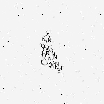 COc1cccc(OC)c1-n1c(NS(=O)(=O)C(C)C(OC)c2ncc(Cl)cn2)nnc1-c1ccn(C(F)F)n1